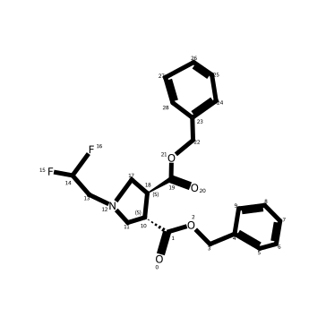 O=C(OCc1ccccc1)[C@@H]1CN(CC(F)F)C[C@H]1C(=O)OCc1ccccc1